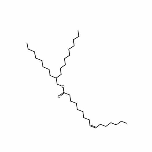 CCCCCC/C=C\CCCCCCCC(=O)OCC(CCCCCCCC)CCCCCCCCCC